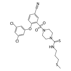 CSCCCNC(=S)N1CCN(S(=O)(=O)c2cc(C#N)ccc2Oc2cc(Cl)cc(Cl)c2)CC1